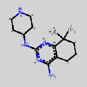 CC1(C)CCCc2c(N)nc(NC3CCNCC3)nc21